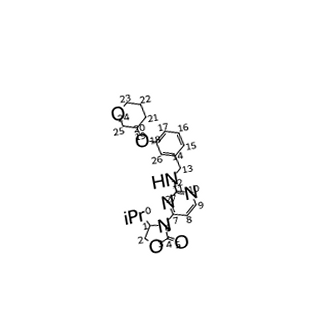 CC(C)C1COC(=O)N1c1ccnc(NCc2cccc(OC3CCCOC3)c2)n1